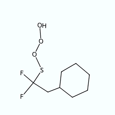 OOOSC(F)(F)CC1CCCCC1